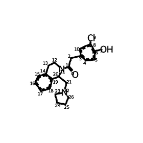 O=C(Cc1ccc(O)c(Cl)c1)N1CCc2ccccc2C1CN1CCCC1